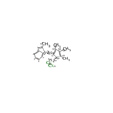 CC1=Cc2ccccc2[CH]1[Zr+2][C]1=C(C)C(C)=C(C)C1C.[Cl-].[Cl-]